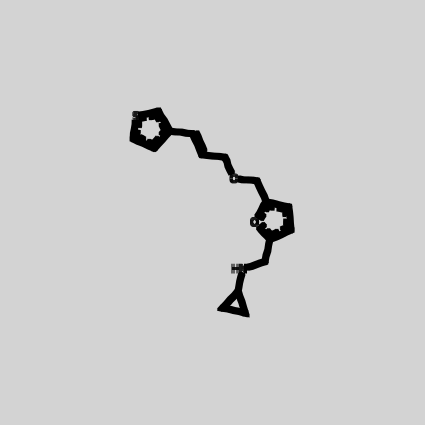 C(=Cc1ccsc1)COCc1ccc(CNC2CC2)o1